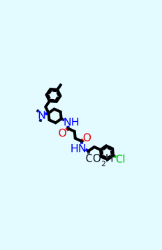 Cc1ccc(CC2(N(C)C)CCC(NC(=O)CCC(=O)NC(Cc3ccc(Cl)cc3)C(=O)O)CC2)cc1